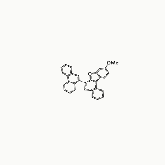 COc1ccc2c(c1)oc1c(-c3cc4ccccc4c4ccccc34)cc3ccccc3c12